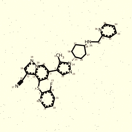 Cc1c(-c2cc(Sc3ncccc3F)c3c(C#N)cnn3c2)cnn1[C@H]1CC[C@@H](NCc2ccccn2)CC1